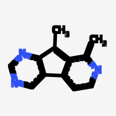 C=c1nccc2c1=C(C)c1ncncc1-2